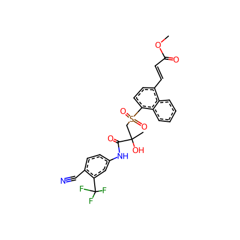 COC(=O)C=Cc1ccc(S(=O)(=O)CC(C)(O)C(=O)Nc2ccc(C#N)c(C(F)(F)F)c2)c2ccccc12